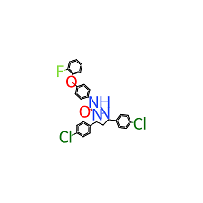 O=C(Nc1ccc(Oc2ccccc2F)cc1)N1N=C(c2ccc(Cl)cc2)CC1c1ccc(Cl)cc1